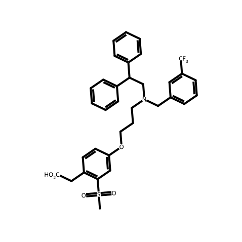 CS(=O)(=O)c1cc(OCCCN(Cc2cccc(C(F)(F)F)c2)CC(c2ccccc2)c2ccccc2)ccc1CC(=O)O